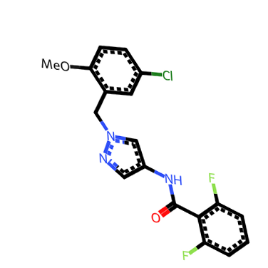 COc1ccc(Cl)cc1Cn1cc(NC(=O)c2c(F)cccc2F)cn1